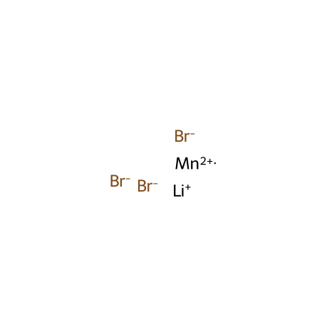 [Br-].[Br-].[Br-].[Li+].[Mn+2]